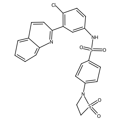 O=S(=O)(Nc1ccc(Cl)c(-c2ccc3ccccc3n2)c1)c1ccc(N2CCS2(=O)=O)cc1